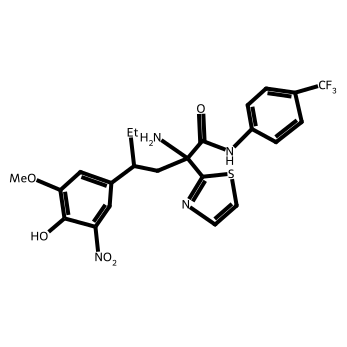 CCC(CC(N)(C(=O)Nc1ccc(C(F)(F)F)cc1)c1nccs1)c1cc(OC)c(O)c([N+](=O)[O-])c1